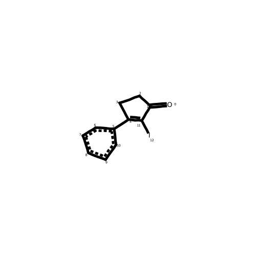 O=C1CCC(c2ccccc2)=C1I